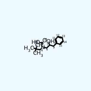 CC(C)(C)CN(CC(O)Cc1ccccc1)C(=O)O